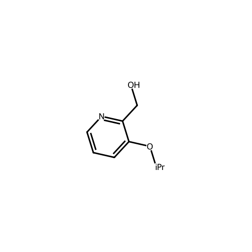 CC(C)Oc1cccnc1CO